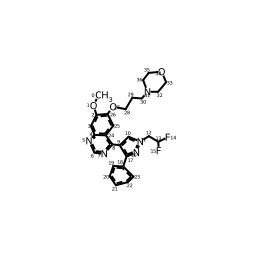 COc1cc2ncnc(-c3cn(CC(F)F)nc3-c3ccccc3)c2cc1OCCCN1CCOCC1